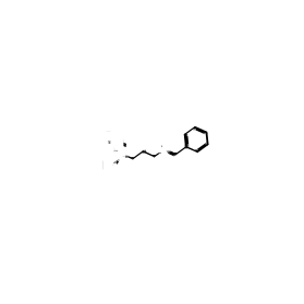 CCO[Si](C)(C)CCC/N=C/c1ccccc1